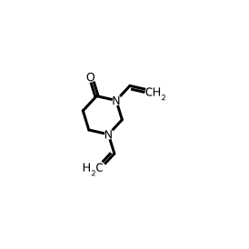 C=CN1CCC(=O)N(C=C)C1